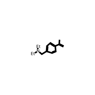 C=C(C)c1ccc(CN(CC)CC)cc1